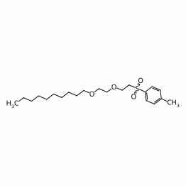 CCCCCCCCCCOCCOCCS(=O)(=O)c1ccc(C)cc1